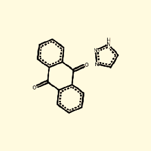 O=C1c2ccccc2C(=O)c2ccccc21.c1c[nH]nn1